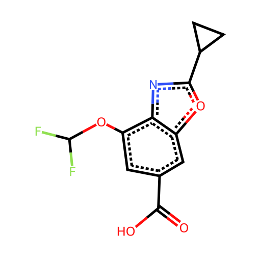 O=C(O)c1cc(OC(F)F)c2nc(C3CC3)oc2c1